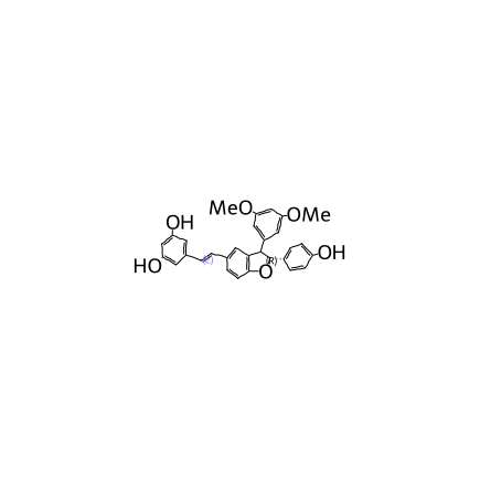 COc1cc(OC)cc(C2c3cc(/C=C/c4cc(O)cc(O)c4)ccc3O[C@H]2c2ccc(O)cc2)c1